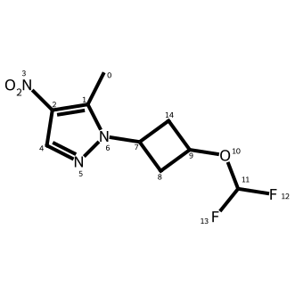 Cc1c([N+](=O)[O-])cnn1C1CC(OC(F)F)C1